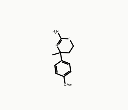 COc1ccc(C2(C)CCSC(N)=N2)cc1